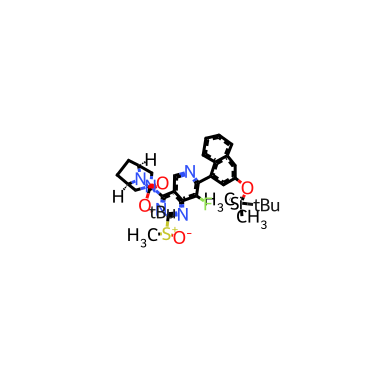 C[S+]([O-])c1nc(N2C[C@H]3CC[C@@H](C2)N3C(=O)OC(C)(C)C)c2cnc(-c3cc(O[Si](C)(C)C(C)(C)C)cc4ccccc34)c(F)c2n1